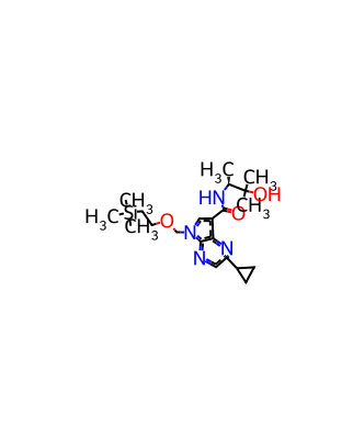 C[C@H](NC(=O)c1cn(COCC[Si](C)(C)C)c2ncc(C3CC3)nc12)C(C)(C)O